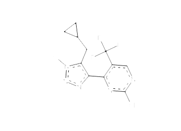 Cn1nnc(-c2nc(Cl)ncc2C(F)(F)F)c1CC1CC1